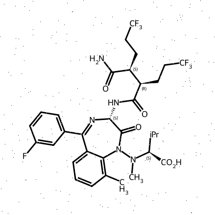 Cc1cccc2c1N(N(C)[C@H](C(=O)O)C(C)C)C(=O)[C@@H](NC(=O)[C@H](CCC(F)(F)F)[C@H](CCC(F)(F)F)C(N)=O)N=C2c1cccc(F)c1